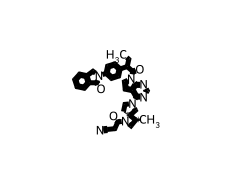 CCC(C(=O)n1ccc2c(N3CC[C@]4(C3)[C@@H](C)CN4C(=O)CC#N)ncnc21)c1ccc(N2Cc3ccccc3C2=O)cc1